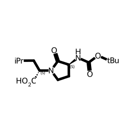 CC(C)C[C@@H](C(=O)O)N1CC[C@H](NC(=O)OC(C)(C)C)C1=O